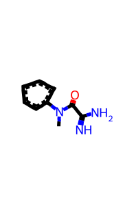 CN(C(=O)C(=N)N)c1ccccc1